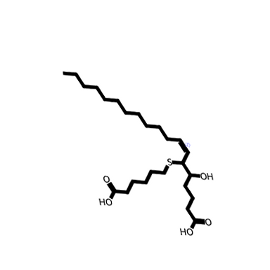 CCCCCCCCCCC/C=C\C(SCCCCCC(=O)O)C(O)CCCC(=O)O